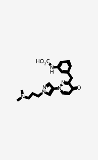 CN(C)CCCn1cc(-n2ccc(=O)c(Cc3cccc(NC(=O)O)c3)n2)cn1